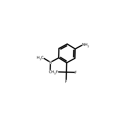 CN(C)c1ccc(N)cc1C(F)(F)F